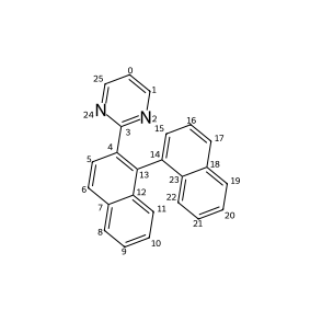 c1cnc(-c2ccc3ccccc3c2-c2cccc3ccccc23)nc1